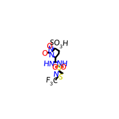 N=C(NS(=O)(=O)c1csc(C(F)(F)F)n1)C1CCC2CN1C(=O)N2OS(=O)(=O)O